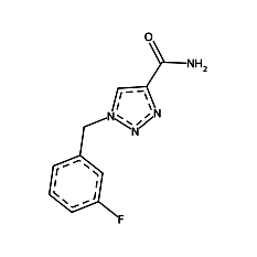 NC(=O)c1cn(Cc2cccc(F)c2)nn1